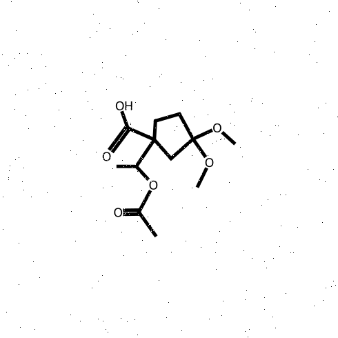 COC1(OC)CCC(C(=O)O)(C(C)OC(C)=O)C1